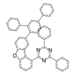 c1ccc(-c2ccc(-c3ccc4oc5cccc(-c6nc(-c7ccccc7)nc(-c7ccccc7)n6)c5c4c3)c(-c3ccccc3)c2)cc1